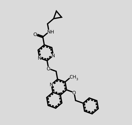 Cc1c(COc2ncc(C(=O)NCC3CC3)cn2)nc2ccccc2c1OCc1ccccc1